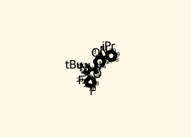 CC(C)N1C(=O)C2(CCN(C(=O)C3CN(C(C)(C)C)C[C@H]3c3ccc(F)cc3F)CC2)C2CCCCC21